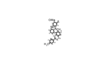 COc1ccc(C(C)c2c(N)cccc2-c2ncnc3c2CN(c2ccc(C)cn2)CC3)cc1F